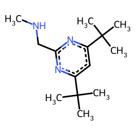 CNCc1nc(C(C)(C)C)cc(C(C)(C)C)n1